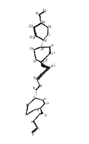 C=CCC[C@H]1CC[C@H](CC/C=C/C2CCC([C@H]3CC[C@H](CC)CC3)CC2)CC1